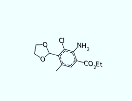 CCOC(=O)c1cc(C)c(C2OCCO2)c(Cl)c1N